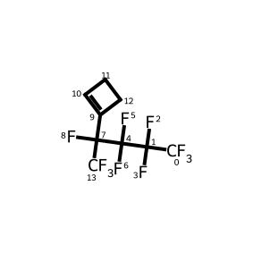 FC(F)(F)C(F)(F)C(F)(F)C(F)(C1=CCC1)C(F)(F)F